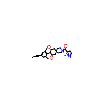 CC#Cc1cc(C)c(C2C(=O)CC3(CCN(C(=O)c4ccnn4C)CC3)CC2=O)c(C)c1